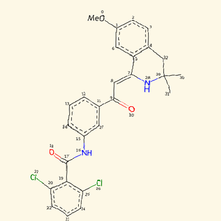 COc1ccc2c(c1)C(=CC(=O)c1cccc(NC(=O)c3c(Cl)cccc3Cl)c1)NC(C)(C)C2